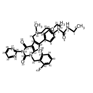 CCNC(=O)Nc1ccc(-c2sc3c(c2CN(C)CCOCC)c(=O)n(-c2ncccn2)c(=O)n3Cc2c(F)cccc2F)cc1